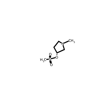 CN1CC[C@@H](OS(C)(=O)=O)C1